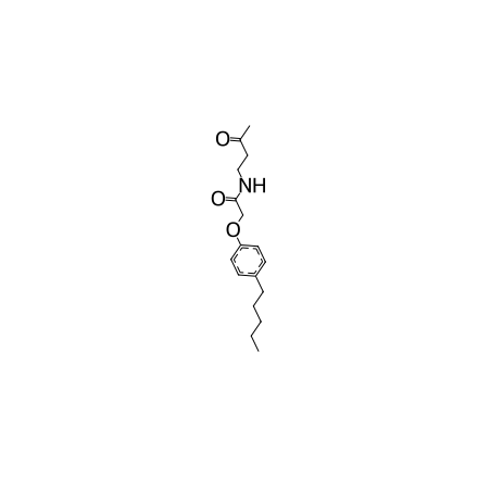 CCCCCc1ccc(OCC(=O)NCCC(C)=O)cc1